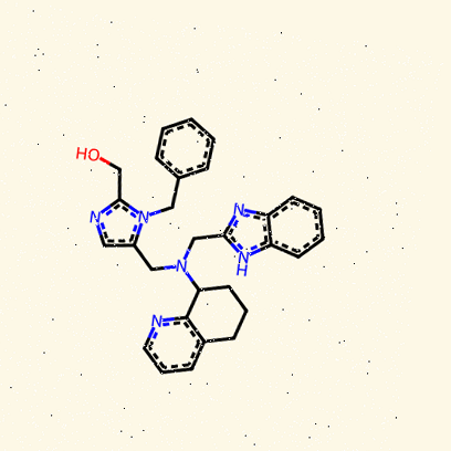 OCc1ncc(CN(Cc2nc3ccccc3[nH]2)C2CCCc3cccnc32)n1Cc1ccccc1